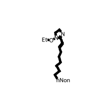 CCCCCCCCCCCCCCCC=CC1=NCCN1OCC